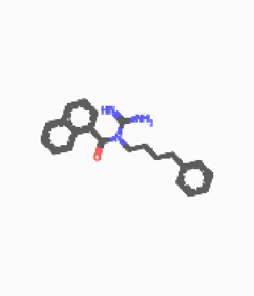 N=C(N)N(CCCCc1ccccc1)C(=O)c1cccc2ccccc12